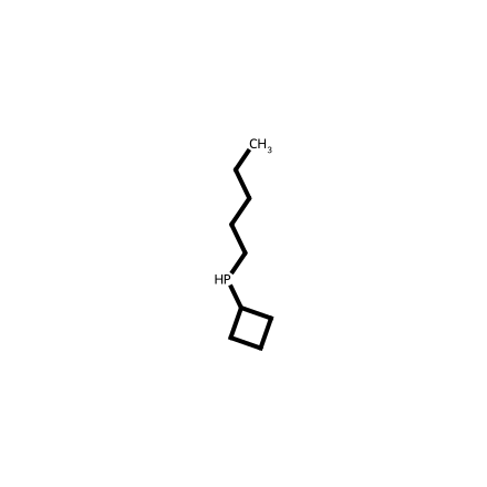 CCCCCPC1CCC1